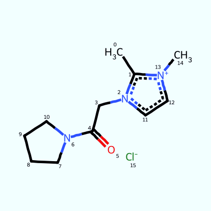 Cc1n(CC(=O)N2CCCC2)cc[n+]1C.[Cl-]